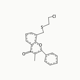 Cc1c(-c2ccccc2)oc2c(CSCCCl)cccc2c1=O